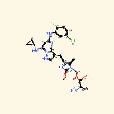 C=c1/c(=C/c2cnn3c(NC4CC4)cc(Nc4cc(Cl)ccc4F)nc23)[nH]c(=O)n1COC(=O)C(N)C(C)C